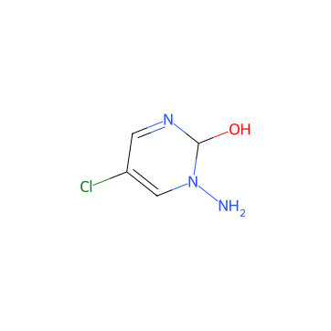 NN1C=C(Cl)C=NC1O